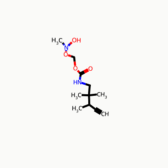 C#CC(C)C(C)(C)CNC(=O)OCON(C)O